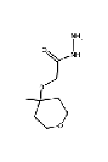 CC1(OCC(=O)NN)CCOCC1